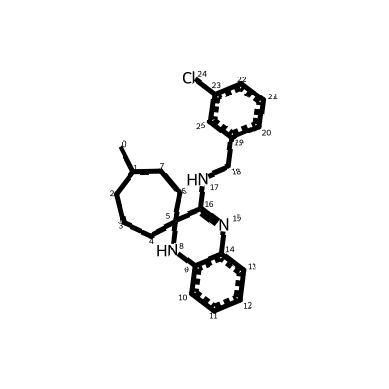 CC1CCCC2(CC1)Nc1ccccc1N=C2NCc1cccc(Cl)c1